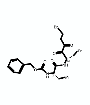 CC(C)C[C@H](NC(=O)OCc1ccccc1)C(=O)N[C@@H](CC(C)C)C(=O)C(=O)CCBr